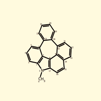 Cn1c2cccc3c2c2c4c(cccc4ccc21)-c1ccccc1-3